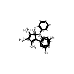 CCc1cc(CC)cc(C2=C(C)C(C)=C(C)C2(C)[SiH](c2ccccc2)c2ccccc2)c1